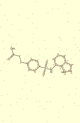 O=C(O)CCc1ccc(S(=O)(=O)Nc2cccc3cn[nH]c23)cc1